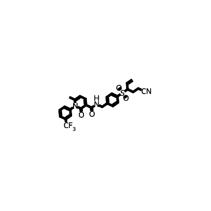 C=CC(CCC#N)S(=O)(=O)c1ccc(CNC(=O)c2ccc(C)n(-c3cccc(C(F)(F)F)c3)c2=O)cc1